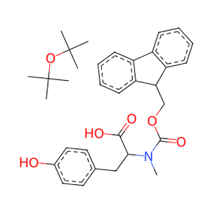 CC(C)(C)OC(C)(C)C.CN(C(=O)OCC1c2ccccc2-c2ccccc21)C(Cc1ccc(O)cc1)C(=O)O